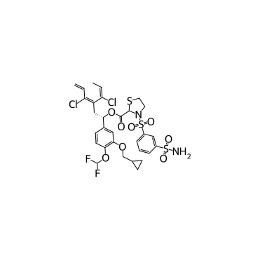 C=C/C(Cl)=C(C[C@H](OC(=O)C1SCCN1S(=O)(=O)c1cccc(S(N)(=O)=O)c1)c1ccc(OC(F)F)c(OCC2CC2)c1)\C(Cl)=C/C